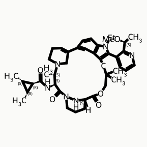 CCn1c(-c2cccnc2[C@H](C)OC)c2c3cc(ccc31)C1=CCCN(C1)[C@@H](C)[C@H](NC(=O)[C@H]1[C@H](C)[C@@H]1C)C(=O)N1CCC[C@H](N1)C(=O)OCC(C)(C)C2